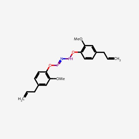 C=CCc1ccc(OP=NPOc2ccc(CC=C)cc2OC)c(OC)c1